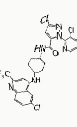 O=C(NC1CCC(Nc2cc(C(F)(F)F)nc3ccc(Cl)cc23)CC1)c1cc(Cl)nn1-c1ncccc1Cl